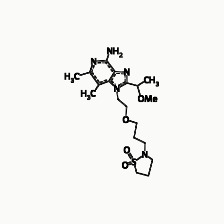 COC(C)c1nc2c(N)nc(C)c(C)c2n1CCOCCCN1CCCS1(=O)=O